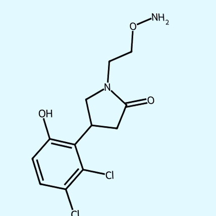 NOCCN1CC(c2c(O)ccc(Cl)c2Cl)CC1=O